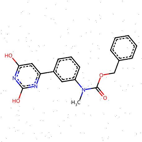 CN(C(=O)OCc1ccccc1)c1cccc(-c2cc(O)nc(O)n2)c1